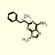 C[C@@H](Cc1ccccc1)c1nc(N)c2ncn(C)c2n1